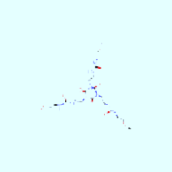 COCCNC(=O)NCCn1c(=O)n(CCNC(=O)NCCOC)c(=O)n(CCNC(=O)NCCOC)c1=O